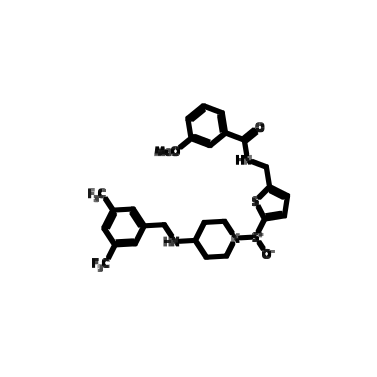 COc1cccc(C(=O)NCc2ccc([S+]([O-])N3CCC(NCc4cc(C(F)(F)F)cc(C(F)(F)F)c4)CC3)s2)c1